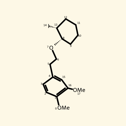 COc1ccc(CCO[C@H]2CCCC[C@H]2I)cc1OC